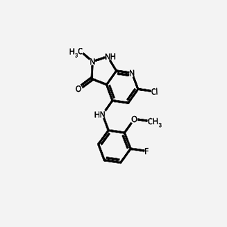 COc1c(F)cccc1Nc1cc(Cl)nc2[nH]n(C)c(=O)c12